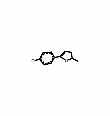 C[C]1CC=C(c2ccc(Cl)cc2)O1